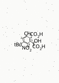 CC(C)(C)c1cccc(C(O)C(=O)O)c1[N+](=O)[O-].O=C(O)Cl